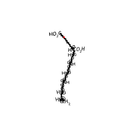 CCN[C@@H](CCCCNC(=O)COCCOCCNC(=O)COCCOCCNC(=O)COCCOCCNC(=O)COCCOCCNC(=O)CC[C@H](NC(=O)CCCCCCCCCCCCCCCCC(=O)O)C(=O)O)C(=O)P